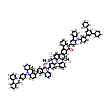 CC1(C)c2ccccc2N(c2ccc(-n3c(=O)c4ccccc4c4ccccc43)cc2)c2cccc(-c3ccc4c(=O)n(-c5cc6c7c(c5)c5cccc8c5n7-c5c(ccc(-c7ccc9c(=O)n(-c%10ccc%11c(c%10)c%10ccccc%10n%11-c%10cccc(-c%11cc(-c%12ccccc%12)cc(-c%12ccccc%12)c%11)c%10)c%10ccccc%10c9c7)c5C8(C)C)C6(C)C)c5ccccc5c4c3)c21